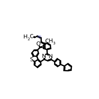 C=C/C=C\c1oc(-c2ccc3sc4cccc(-c5cc(-c6ccc(-c7ccccc7)cc6)nc(-c6ccccc6)n5)c4c3c2)nc1C